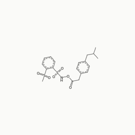 CC(C)Cc1ccc(CC(=O)ONS(=O)(=O)c2ccccc2S(C)(=O)=O)cc1